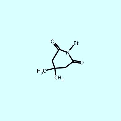 CCN1C(=O)CC(C)(C)CC1=O